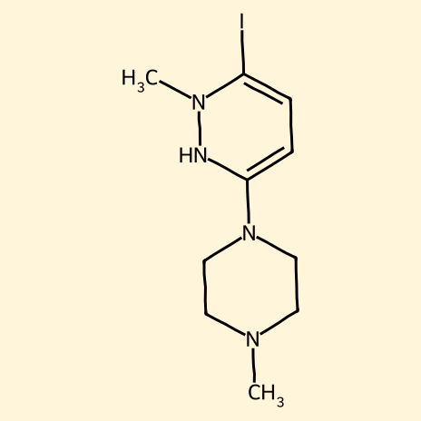 CN1CCN(C2=CC=C(I)N(C)N2)CC1